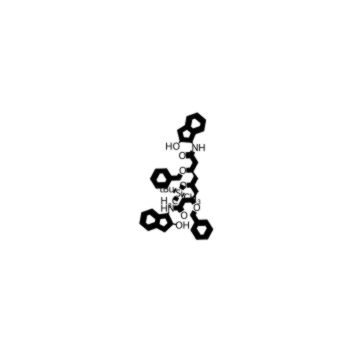 CC(C)(C)[Si](C)(C)OC(C[C@H](CC(=O)N[C@H]1c2ccccc2C[C@H]1O)OCc1ccccc1)C[C@H](CC(=O)N[C@H]1c2ccccc2C[C@H]1O)OCc1ccccc1